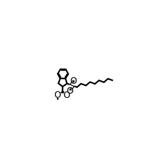 CCCCCCCCCS(=O)(=O)C1c2ccccc2CC1C(=O)OC